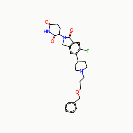 O=C1CCC(N2Cc3cc(C4CCN(CCCOCc5ccccc5)CC4)c(F)cc3C2=O)C(=O)N1